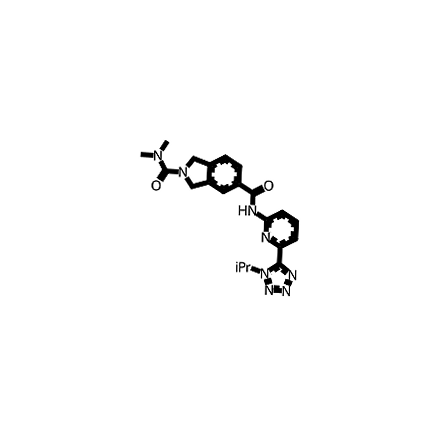 CC(C)n1nnnc1-c1cccc(NC(=O)c2ccc3c(c2)CN(C(=O)N(C)C)C3)n1